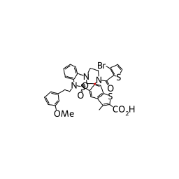 COc1cccc(CCN(c2ccccc2N2CCN(C(=O)c3sccc3Br)CC2)S(=O)(=O)c2ccc3sc(C(=O)O)c(C)c3c2)c1